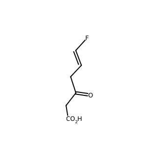 O=C(O)CC(=O)CC=CF